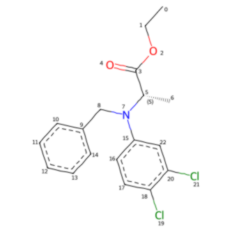 CCOC(=O)[C@H](C)N(Cc1ccccc1)c1ccc(Cl)c(Cl)c1